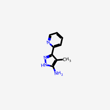 Cc1c(-c2ccccn2)n[nH]c1N